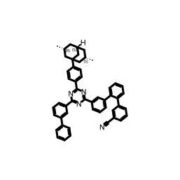 C[C@@H]1C[C@@H]2C[C@H](C)CC(c3ccc(-c4nc(-c5cccc(-c6ccccc6)c5)nc(-c5cccc(-c6ccccc6-c6cccc(C#N)c6)c5)n4)cc3)(C1)C2